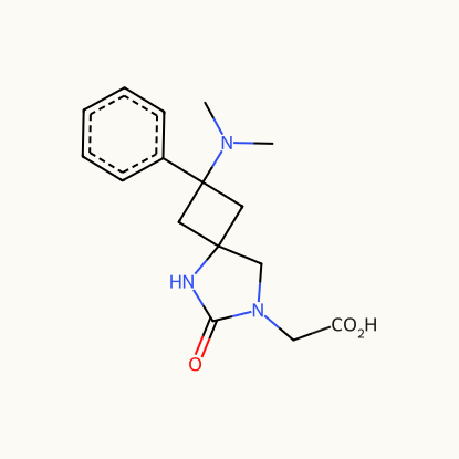 CN(C)C1(c2ccccc2)CC2(CN(CC(=O)O)C(=O)N2)C1